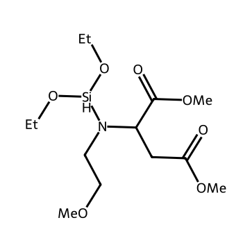 CCO[SiH](OCC)N(CCOC)C(CC(=O)OC)C(=O)OC